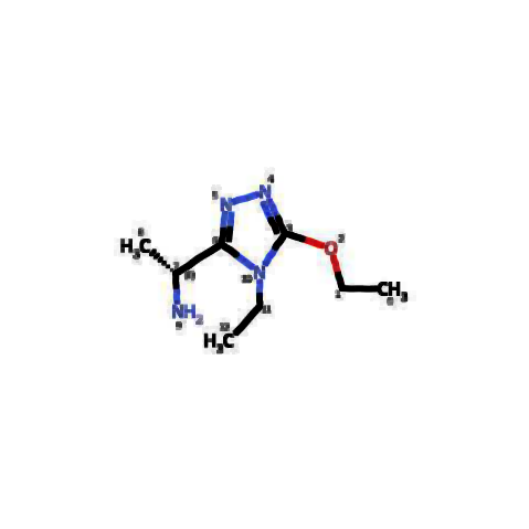 CCOc1nnc([C@@H](C)N)n1CC